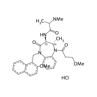 CNC(C)C(=O)N[C@@H]1C(=O)N(Cc2c(OC)ccc3ccccc23)c2ccccc2N(C(=O)CCOC)[C@H]1C.Cl